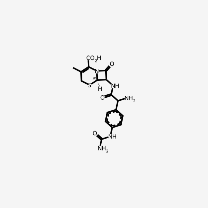 CC1=C(C(=O)O)N2C(=O)C(NC(=O)C(N)c3ccc(NC(N)=O)cc3)[C@H]2SC1